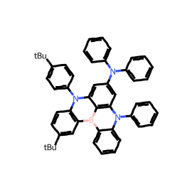 CC(C)(C)c1ccc(N2c3ccc(C(C)(C)C)cc3B3c4ccccc4N(c4ccccc4)c4cc(N(c5ccccc5)c5ccccc5)cc2c43)cc1